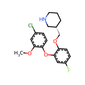 COc1cc(Cl)ccc1Oc1cc(F)ccc1OC[C@H]1CCCNC1